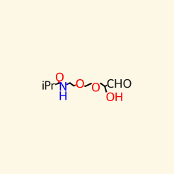 CC(C)C(=O)NCCOCCOCC(C=O)CO